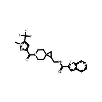 Cn1nc(C(=O)N2CCC3(CC2)CC3CNC(=O)c2cc3ccncc3o2)cc1C(F)(F)F